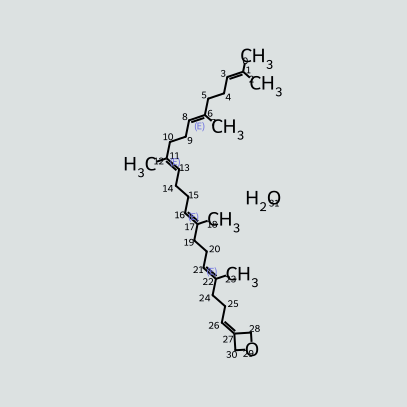 CC(C)=CCC/C(C)=C/CC/C(C)=C/CC/C=C(\C)CC/C=C(\C)CCC=C1COC1.O